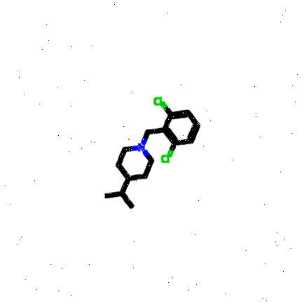 CC(C)C1CCN(Cc2c(Cl)cccc2Cl)CC1